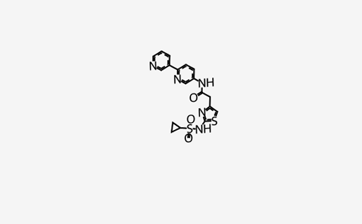 O=C(Cc1csc(NS(=O)(=O)C2CC2)n1)Nc1ccc(-c2cccnc2)nc1